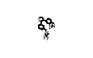 Cn1ncc2ccc(C3=C(c4cccc(CN5CC(F)(F)C5)c4)SCC3)cc21